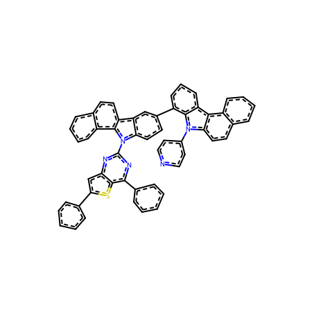 c1ccc(-c2cc3nc(-n4c5ccc(-c6cccc7c8c9ccccc9ccc8n(-c8ccncc8)c67)cc5c5ccc6ccccc6c54)nc(-c4ccccc4)c3s2)cc1